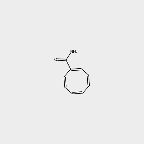 NC(=O)C1=C/C=C\C=C/C=C\1